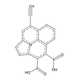 C#Cc1cc2ccc3c(C(=O)O)c(C(=O)O)c4cccc1c4n23